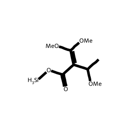 COC(OC)=C(C(=O)O[SiH3])C(C)OC